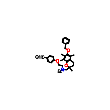 CCN(CCOc1ccc(C=O)cc1)CC1(C)CCc2c(C)c(OCc3ccccc3)c(C)c(C)c2O1